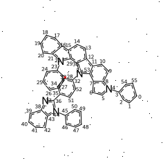 c1ccc(-n2ccc3c2ccc2c4ccc5c6ccccc6n(-c6ccccc6)c5c4n(-c4ccc(-c5nc6ccccc6n5-c5ccccc5)cc4)c23)cc1